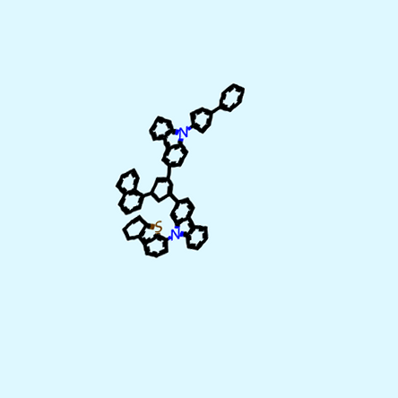 C1=Cc2sc3c(-n4c5ccccc5c5ccc(C6=CC(c7ccc8c(c7)c7ccccc7n8-c7ccc(-c8ccccc8)cc7)=CC(c7cccc8ccccc78)C6)cc54)cccc3c2CC1